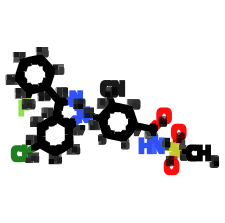 CS(=O)(=O)NC(=O)c1ccc(-n2nc(-c3ccccc3F)c3cc(Cl)ccc32)c(C#N)c1